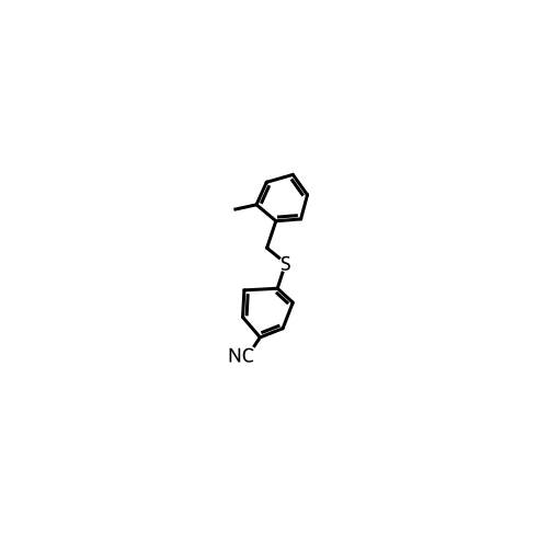 Cc1ccccc1CSc1ccc(C#N)cc1